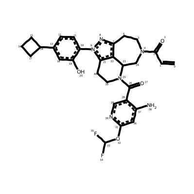 C=CC(=O)N1CCc2nn(-c3ccc(C4CCC4)cc3O)c3c2C(C1)N(C(=O)c1cnc(OC(F)F)cc1N)CC3